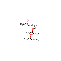 CCC(C)[O-].CCC(C)[O-].CCC(C)[O-].[Li+].[Li+].[Li+]